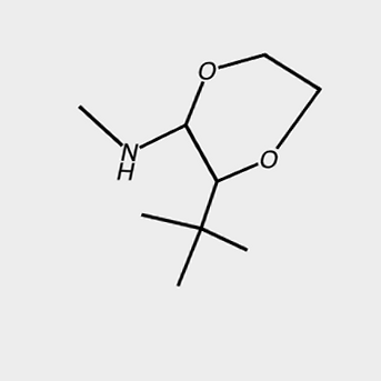 CNC1OCCOC1C(C)(C)C